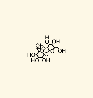 OCC1O[C@H](O[C@H]2O[C@H](CO)[C@@H](O)C(O)C2O)C(O)C(O)[C@@H]1O